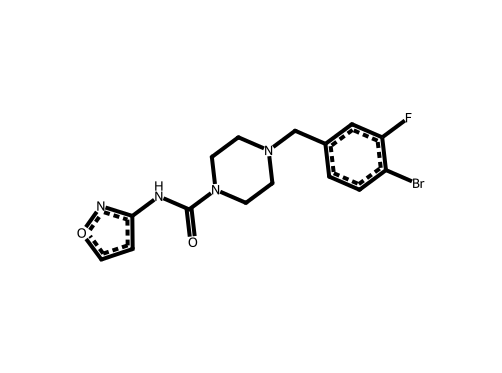 O=C(Nc1ccon1)N1CCN(Cc2ccc(Br)c(F)c2)CC1